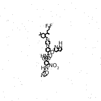 C=C(CCC(F)F)C1=C(CN2CCN(c3ccc(C(=O)NS(=O)(=O)c4ccc(NC[C@@H]5CN(C)CCO5)c([N+](=O)[O-])c4)c(Oc4cnc5[nH]ccc5c4)c3)CC2)CCC(C)(C)C1